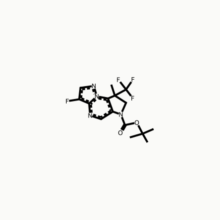 CC(C)(C)OC(=O)N1CC(C)(C(F)(F)F)c2c1cnc1c(F)cnn21